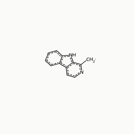 [CH2]c1nccc2c1[nH]c1ccccc12